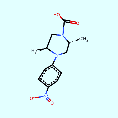 C[C@@H]1CN(c2ccc([N+](=O)[O-])cc2)[C@@H](C)CN1C(=O)O